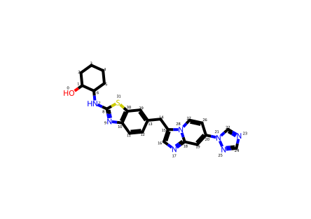 OC1CCCCC1Nc1nc2ccc(Cc3cnc4cc(-n5cncn5)ccn34)cc2s1